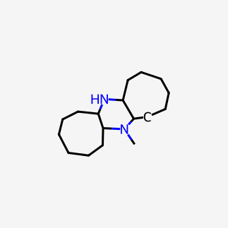 CN1C2CCCCCCC2NC2CCCCCCC21